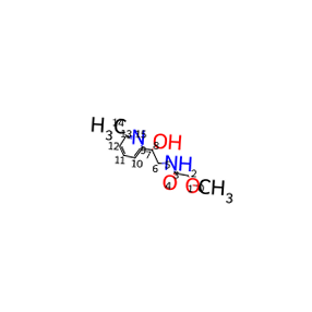 COCC(=O)NCC(O)c1cccc(C)n1